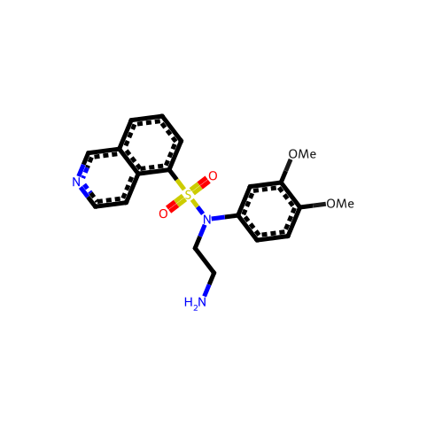 COc1ccc(N(CCN)S(=O)(=O)c2cccc3cnccc23)cc1OC